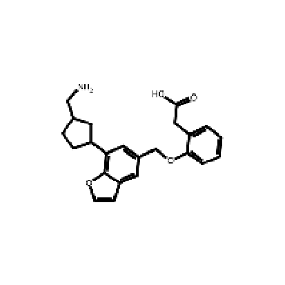 NCC1CCC(c2cc(COc3ccccc3CC(=O)O)cc3ccoc23)C1